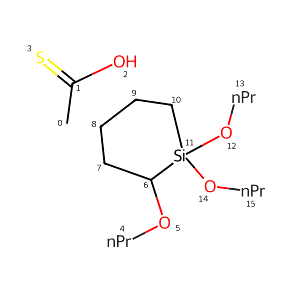 CC(O)=S.CCCOC1CCCC[Si]1(OCCC)OCCC